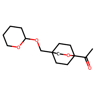 CC(=O)C12CCC(COC3CCCCO3)(CC1)CO2